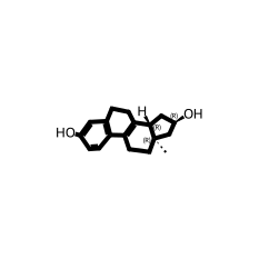 C[C@]12CCC3=C(CCc4cc(O)ccc43)[C@@H]1C[C@@H](O)C2